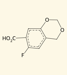 O=C(O)c1cc2c(cc1F)COCO2